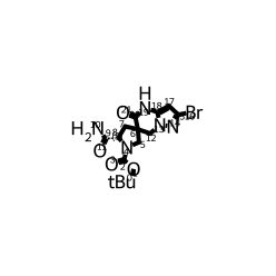 CC(C)(C)OC(=O)N1CC2(C[C@H]1C(N)=O)Cn1nc(Br)cc1NC2=O